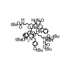 CN(C(=O)[C@@H](N)Cc1ccc(OC(C)(C)C)cc1)[C@@](CCCCCCNC(=NC(=O)OC(C)(C)C)NC(=O)OC(C)(C)C)(Cc1ccc(OC(C)(C)C)cc1)C(=O)N[C@@H](CCCCNC(=O)OC(C)(C)C)C(=O)N[C@@H](Cc1c[nH]c2ccccc12)C(N)=O